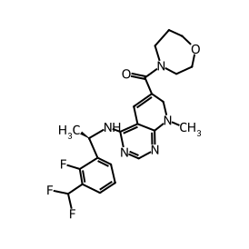 C[C@@H](Nc1ncnc2c1C=C(C(=O)N1CCCOCC1)CN2C)c1cccc(C(F)F)c1F